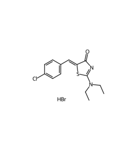 Br.CCN(CC)C1=NC(=O)C(=Cc2ccc(Cl)cc2)S1